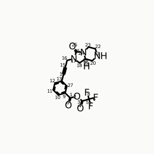 O=C(OC(=O)C(F)(F)F)c1cccc(C#CCN2C[C@@H]3CNCCN3C2=O)c1